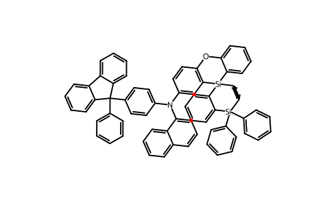 c1ccc(C2(c3ccc(N(c4ccc5c(c4)[Si]4(c6ccccc6O5)c5ccccc5[Si](c5ccccc5)(c5ccccc5)c5ccccc54)c4cccc5ccccc45)cc3)c3ccccc3-c3ccccc32)cc1